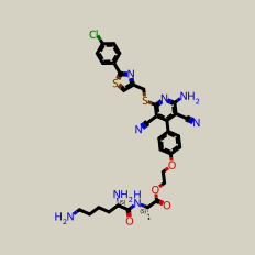 C[C@H](NC(=O)[C@@H](N)CCCCN)C(=O)OCCOc1ccc(-c2c(C#N)c(N)nc(SCc3csc(-c4ccc(Cl)cc4)n3)c2C#N)cc1